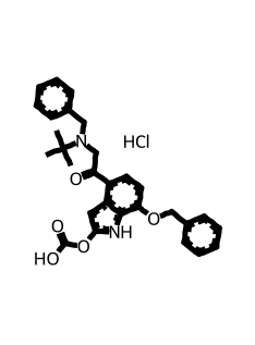 CC(C)(C)N(CC(=O)c1ccc(OCc2ccccc2)c2[nH]c(OC(=O)O)cc12)Cc1ccccc1.Cl